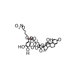 C[C@H]1CC2C3CCC4=CC(=O)C=C[C@]4(C)[C@@]3(F)[C@@H](O)C[C@]2(C)[C@@]1(OC(=O)CCCO[N+](=O)[O-])C(=O)COC(=O)Oc1cc(C(=O)OCCCCO[N+](=O)[O-])cc(O)c1O